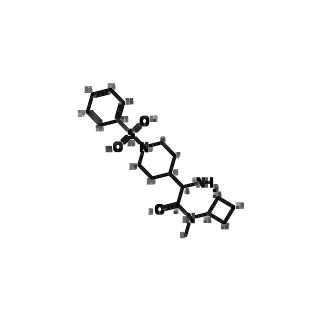 CN(C(=O)C(N)C1CCN(S(=O)(=O)c2ccccc2)CC1)C1CCC1